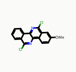 COc1ccc2c(c1)c(Cl)nc1c3ccccc3c(Cl)nc21